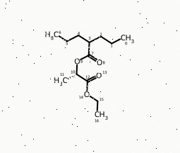 CCCC(CCC)C(=O)O[C@@H](C)C(=O)OCC